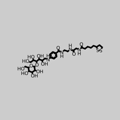 O=C(CCCCC1CCSS1)NCC(=O)NCCNC(=O)c1ccc(NCC(O)C(O)C(OC2OC(CO)C(O)C(O)C2O)C(O)CO)cc1